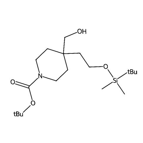 CC(C)(C)OC(=O)N1CCC(CO)(CCO[Si](C)(C)C(C)(C)C)CC1